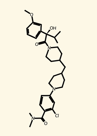 COc1cccc([C@@](O)(C(=O)N2CCC(CC3CCN(c4ccc(C(=O)N(C)C)c(Cl)c4)CC3)CC2)C(C)C)c1